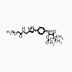 C[N+](C)(C)C(=O)C(Nc1ccc(-n2cc(CNC(=O)CON)nn2)cc1)OC=O